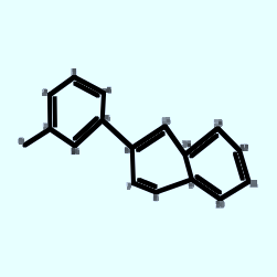 Cc1cc[c]c(-c2ccc3ccccc3c2)c1